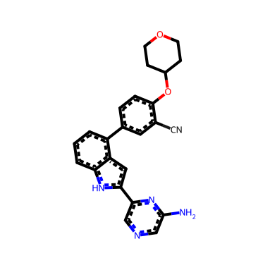 N#Cc1cc(-c2cccc3[nH]c(-c4cncc(N)n4)cc23)ccc1OC1CCOCC1